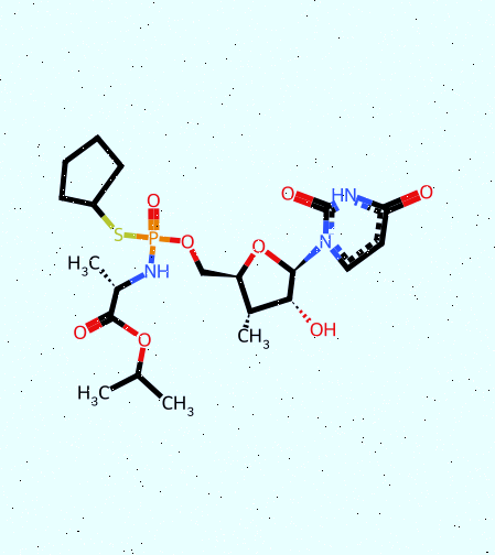 CC(C)OC(=O)[C@H](C)NP(=O)(OC[C@H]1O[C@@H](n2ccc(=O)[nH]c2=O)[C@H](O)[C@@H]1C)SC1CCCC1